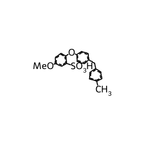 COc1ccc(Oc2ccc(Cc3ccc(C)cc3)cc2)c(S(=O)(=O)O)c1